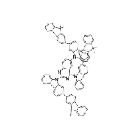 CC1(C)c2ccccc2-c2ccc(-c3ccc4c5ccccc5n(-c5ccc6nc(-n7c8ccccc8c8ccc(-c9ccc%10c(c9)C(C)(C)c9ccccc9-%10)cc87)nc(-n7c8ccccc8c8ccc(-c9ccc%10c(c9)C(C)(C)c9ccccc9-%10)cc87)c6c5)c4c3)cc21